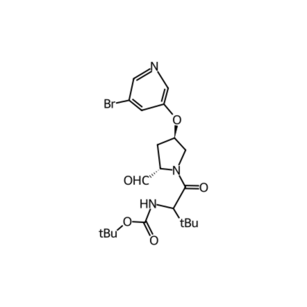 CC(C)(C)OC(=O)NC(C(=O)N1C[C@H](Oc2cncc(Br)c2)C[C@H]1C=O)C(C)(C)C